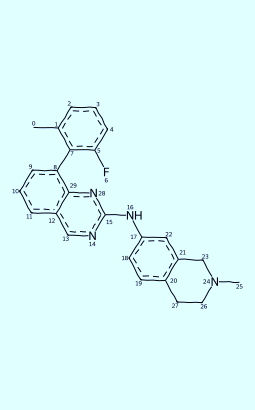 Cc1cccc(F)c1-c1cccc2cnc(Nc3ccc4c(c3)CN(C)CC4)nc12